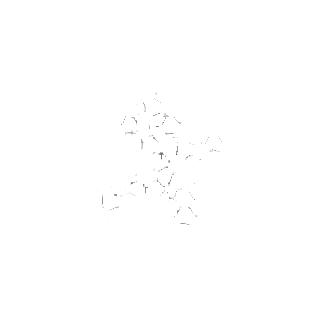 CC1(C)c2ccccc2-c2ccc(N(c3ccc4c(c3)C(c3ccccc3)(c3ccccc3)c3ccccc3-4)c3cc(-c4ccc(-c5ccccc5)cc4)c4oc5c6ccccc6ccc5c4c3)cc21